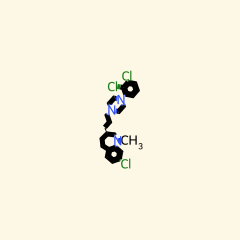 CN1C[C@@H](CCCN2CCN(c3cccc(Cl)c3Cl)CC2)CCc2ccc(Cl)cc21